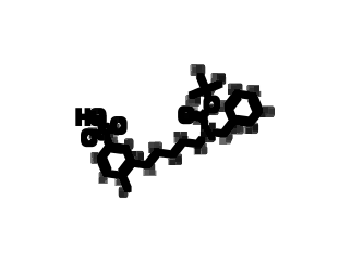 Cc1ccc(S(=O)(=O)O)cc1CCCCCN(Cc1ccccc1)C(=O)OC(C)(C)C